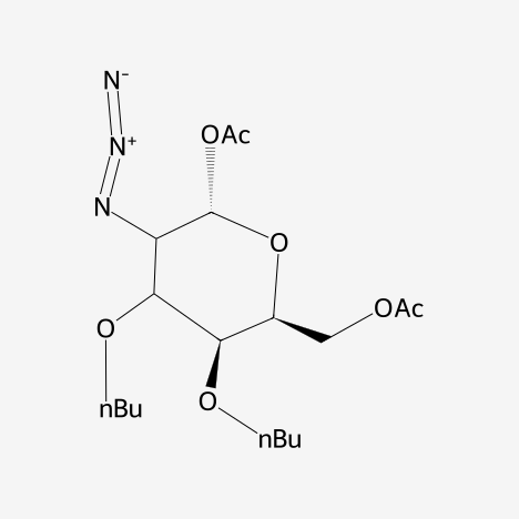 CCCCOC1C(N=[N+]=[N-])[C@H](OC(C)=O)O[C@@H](COC(C)=O)[C@H]1OCCCC